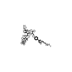 COC(=O)C(COc1ccc(-c2cn(CCCN)[n+](C)c2)cc1)O/N=C(\C(=O)N[C@@H]1C(=O)N(OS(=O)(=O)[O-])C1(C)C)c1csc(N)n1